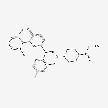 CC(C)(C)OC(=O)N1CCC(ON=C(c2ccc(=O)n(-c3c(Cl)cccc3Cl)c2)c2ccc(F)cc2F)CC1